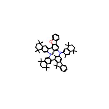 Cc1cc2c(cc1N1c3cc4c(c5c3B3c6c1cc1c(oc7ccccc71)c6-c1cc6c(cc1N3c1cc3c(cc1-5)C(C)(C)CCC3(C)C)C(C)(C)CCC6(C)C)C(C)(C)c1ccccc1-4)C(C)(C)CCC2(C)C